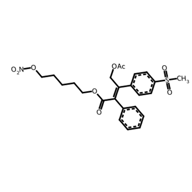 CC(=O)OC/C(=C(\C(=O)OCCCCCO[N+](=O)[O-])c1ccccc1)c1ccc(S(C)(=O)=O)cc1